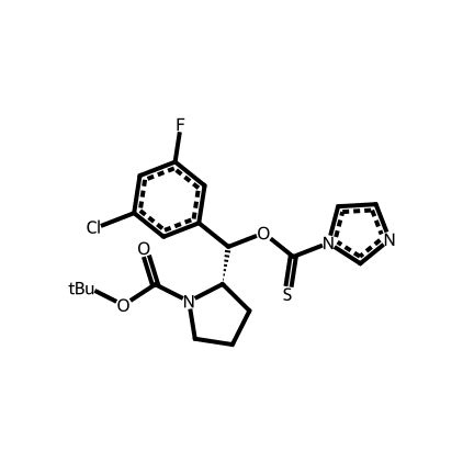 CC(C)(C)OC(=O)N1CCC[C@H]1C(OC(=S)n1ccnc1)c1cc(F)cc(Cl)c1